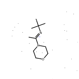 C/C(=N\C(C)(C)C)N1CCOCC1